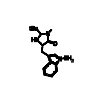 Bn1cc(CC2NC(C(C)(C)C)N(C)C2=O)c2ccccc21